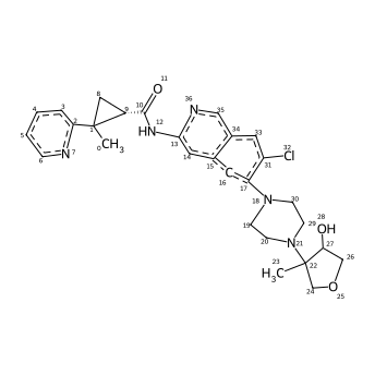 CC1(c2ccccn2)C[C@@H]1C(=O)Nc1cc2cc(N3CCN(C4(C)COCC4O)CC3)c(Cl)cc2cn1